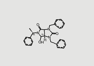 C[C@H](c1ccccc1)N1C(=O)C2[C@@H](C1O)N(Cc1ccccc1)C(=O)N2Cc1ccccc1